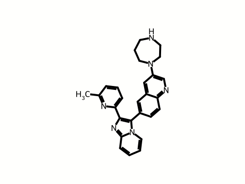 Cc1cccc(-c2nc3ccccn3c2-c2ccc3ncc(N4CCCNCC4)cc3c2)n1